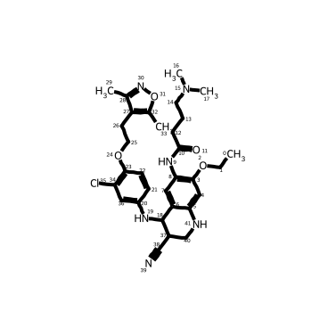 CCOc1cc2c(cc1NC(=O)CCCN(C)C)C(Nc1ccc(OCCc3c(C)noc3C)c(Cl)c1)C(C#N)CN2